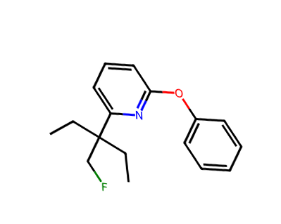 CCC(CC)(CF)c1cccc(Oc2ccccc2)n1